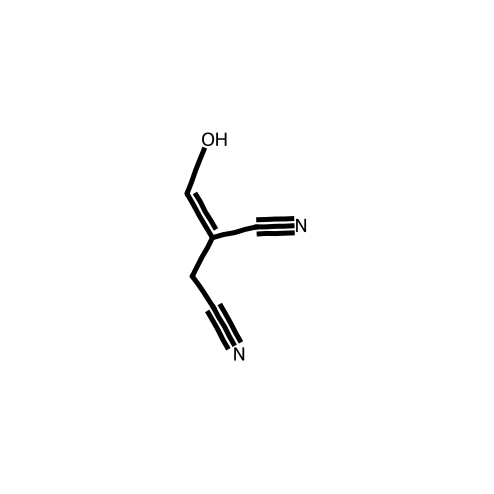 N#CC/C(C#N)=C/O